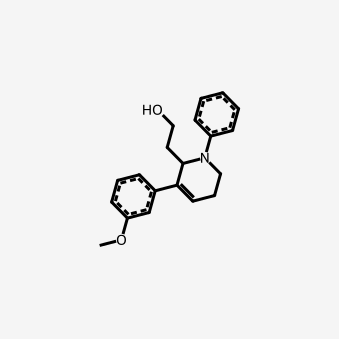 COc1cccc(C2=CCCN(c3ccccc3)C2CCO)c1